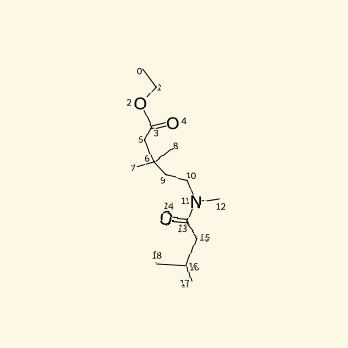 CCOC(=O)CC(C)(C)CCN(C)C(=O)CC(C)C